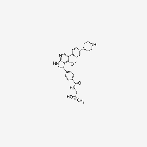 C[C@H](O)CNC(=O)c1ccc(-c2c[nH]c3ncc4c(c23)OCc2cc(N3CCNCC3)ccc2-4)cc1